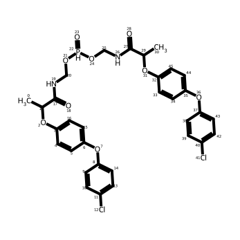 CC(Oc1ccc(Oc2ccc(Cl)cc2)cc1)C(=O)NCO[PH](=O)OCNC(=O)C(C)Oc1ccc(Oc2ccc(Cl)cc2)cc1